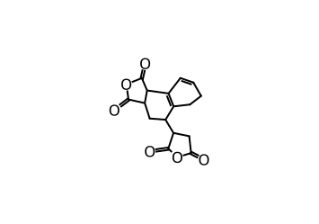 O=C1CC(C2CC3C(=O)OC(=O)C3C3=C2CCC=C3)C(=O)O1